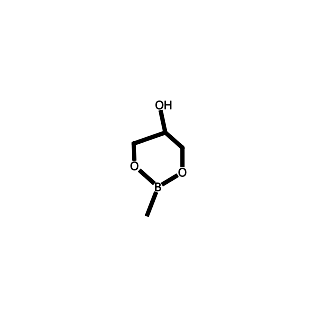 CB1OCC(O)CO1